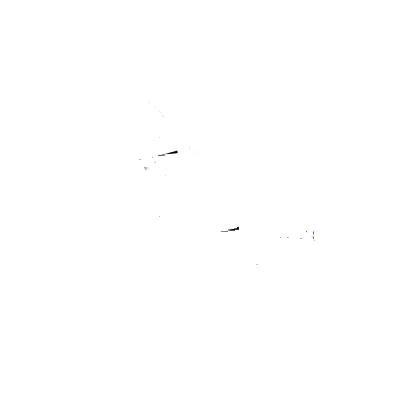 C[C@]12CCCCC1C(=O)CC1C2CC[C@]2(C)C(c3cccnc3)=CCC12